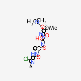 COc1cc2c(=O)n(CC3(O)CCN(C(=O)[C@H](CCCNC(=O)c4ccc5c(Cl)cc(C6CC6)nc5c4)Cc4ccccc4)CC3)cnc2cc1OCCCN(C)C